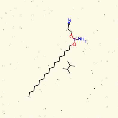 CC(C)C(C)C.CCCCCCCCCCCCCCCCCCOP(N)OCCC#N